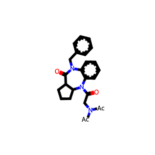 CC(=O)N(CC(=O)N1c2ccccc2N(Cc2ccccc2)C(=O)C2CCCC21)C(C)=O